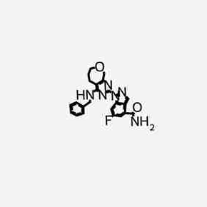 NC(=O)c1cc(F)cc2c1cnn2-c1nc2c(c(NCc3ccccc3)n1)CCCOC2